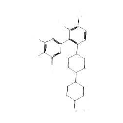 CCCCCC1CCC(C2CCC(c3ccc(C(=O)O)c(F)c3-c3cc(F)c(F)c(F)c3)CC2)CC1